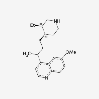 CC[C@H]1CNCC[C@H]1CCC(C)c1ccnc2ccc(OC)cc12